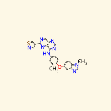 Cc1cc(Nc2ncnc3cnc(-c4cnsc4)nc23)ccc1Oc1ccc2c(c1)ncn2C